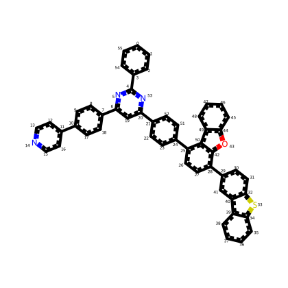 c1ccc(-c2nc(-c3ccc(-c4ccncc4)cc3)cc(-c3ccc(-c4ccc(-c5ccc6sc7ccccc7c6c5)c5oc6ccccc6c45)cc3)n2)cc1